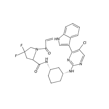 C=CC(=O)N1CC(F)(F)CC1C(=O)N[C@H]1CCC[C@@H](Nc2ncc(Cl)c(-c3c[nH]c4ccccc34)n2)C1